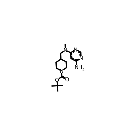 CN(CC1CCN(C(=O)OC(C)(C)C)CC1)c1cc(N)ncn1